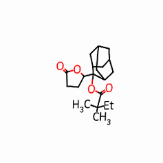 CCC(C)(C)C(=O)OC1(C2CCC(=O)O2)C2CC3CC(C2)CC1C3